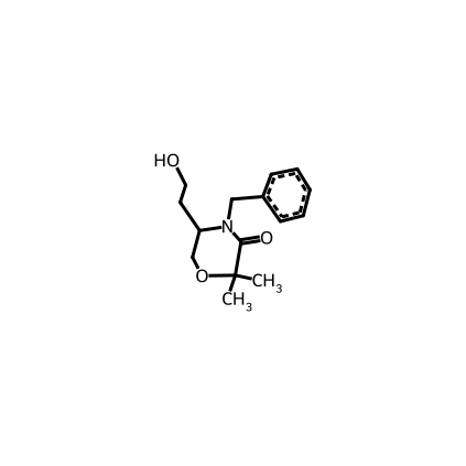 CC1(C)OCC(CCO)N(Cc2ccccc2)C1=O